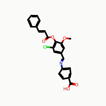 COc1cc(/C=N/c2ccc(C(=O)O)cc2)cc(Cl)c1OC(=O)/C=C/c1ccccc1